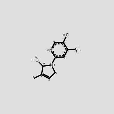 CC1=CCN(c2cc(C(F)(F)F)c(Cl)cn2)C1O